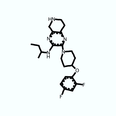 CCC(C)Nc1nc2c(nc1N1CCC(Oc3ccc(F)cc3F)CC1)CCNC2